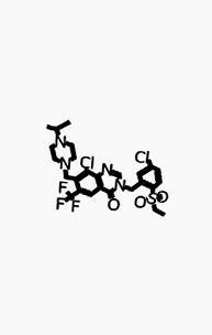 CCS(=O)(=O)c1ccc(Cl)cc1Cn1cnc2c(Cl)c(CN3CCN(C(C)C)CC3)c(C(F)(F)F)cc2c1=O